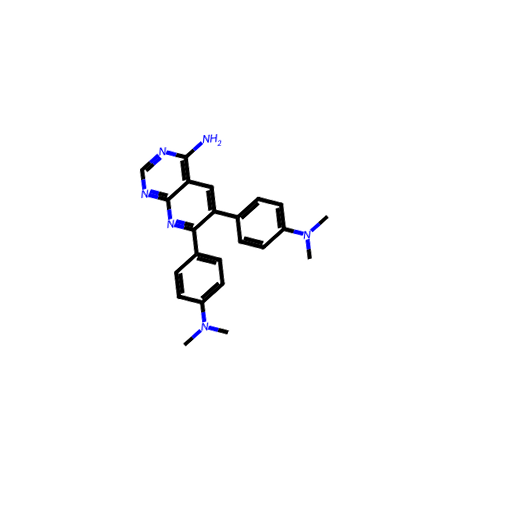 CN(C)c1ccc(-c2cc3c(N)ncnc3nc2-c2ccc(N(C)C)cc2)cc1